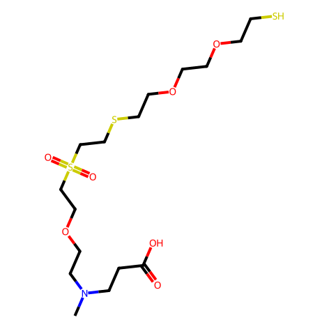 CN(CCOCCS(=O)(=O)CCSCCOCCOCCS)CCC(=O)O